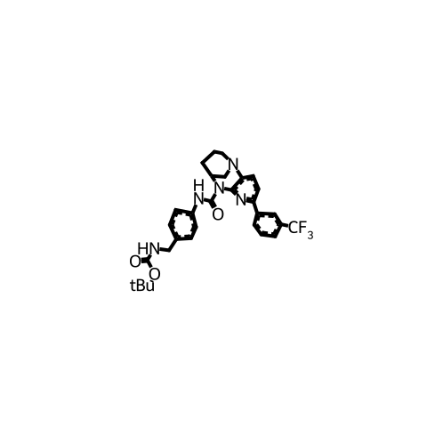 CC(C)(C)OC(=O)NCc1ccc(NC(=O)N2c3nc(-c4cccc(C(F)(F)F)c4)ccc3N3CCCC2C3)cc1